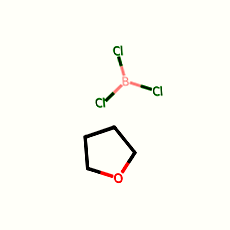 C1CCOC1.ClB(Cl)Cl